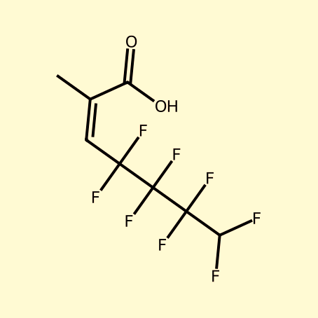 CC(=CC(F)(F)C(F)(F)C(F)(F)C(F)F)C(=O)O